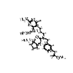 CCCCCNc1nc(N)nc(C)c1CCCN(Cc1cccc(CC(=O)OC)c1)C(=O)CN1CCCC1(C)C(=O)O